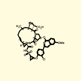 COc1ccc2c(O[C@@H]3C[C@H]4C(=O)N[C@]5(C(=O)NS(=O)(=O)C6CC6)C[C@H]5/C=C\CC[C@@H](C)C[C@@H](C)[C@H](N(C(=O)O)C(C)(C)C)C(=O)N4C3)nc(-c3ccc(OC)c(Cl)c3)cc2c1